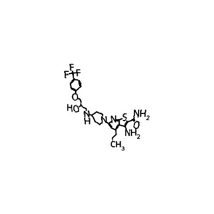 CCCc1cc(N2CCC(NCC(O)COc3ccc(C(F)(F)F)cc3)CC2)nc2sc(C(N)=O)c(N)c12